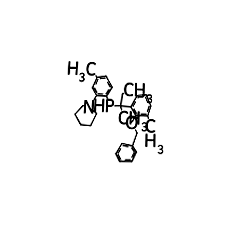 CCC(C)(Pc1ccc(C)cc1N1CCCCC1)c1cccc(C)c1OCc1ccccc1